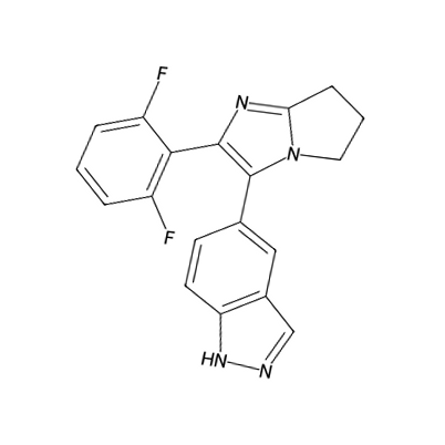 Fc1cccc(F)c1-c1nc2n(c1-c1ccc3[nH]ncc3c1)CCC2